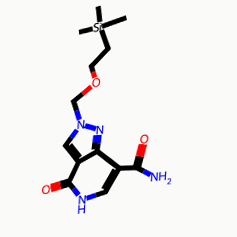 C[Si](C)(C)CCOCn1cc2c(=O)[nH]cc(C(N)=O)c2n1